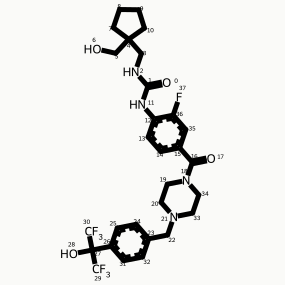 O=C(NCC1(CO)CCCC1)Nc1ccc(C(=O)N2CCN(Cc3ccc(C(O)(C(F)(F)F)C(F)(F)F)cc3)CC2)cc1F